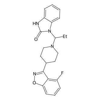 CCC(N1CCC(c2noc3cccc(F)c23)CC1)n1c(=O)[nH]c2ccccc21